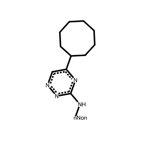 CCCCCCCCCNc1nncc(C2CCCCCCC2)n1